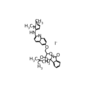 Cn1c(Nc2ccc3cc(OCC(ON4C(=O)c5ccccc5C4=O)C(=O)OC(C)(C)C)ccc3n2)cc[n+]1C.[I-]